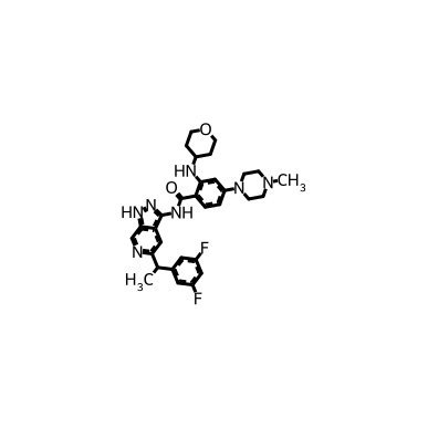 CC(c1cc(F)cc(F)c1)c1cc2c(NC(=O)c3ccc(N4CCN(C)CC4)cc3NC3CCOCC3)n[nH]c2cn1